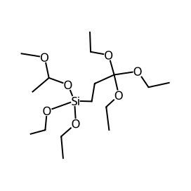 CCOC(CC[Si](OCC)(OCC)OC(C)OC)(OCC)OCC